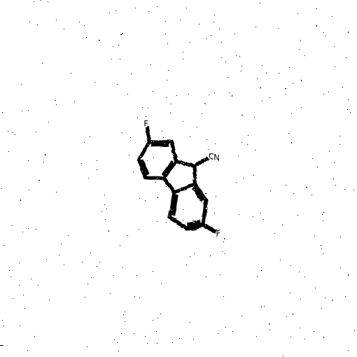 N#CC1c2cc(F)ccc2-c2ccc(F)cc21